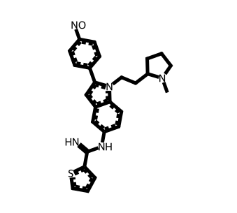 CN1CCCC1CCn1c(-c2ccc(N=O)cc2)cc2cc(NC(=N)c3cccs3)ccc21